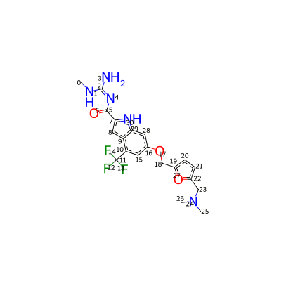 CNC(N)=NC(=O)c1cc2c(C(F)(F)F)cc(OCc3ccc(CN(C)C)o3)cc2[nH]1